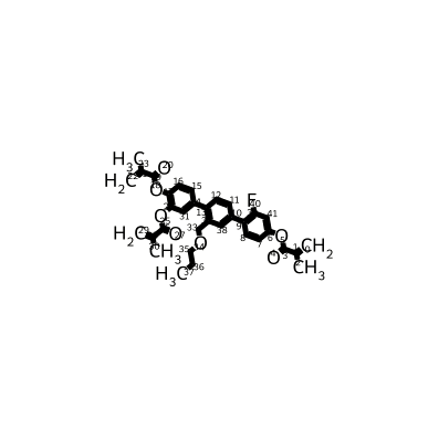 C=C(C)C(=O)Oc1ccc(-c2ccc(-c3ccc(OC(=O)C(=C)C)c(OC(=O)C(=C)C)c3)c(COCCC)c2)c(F)c1